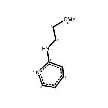 COCCNc1ccccn1